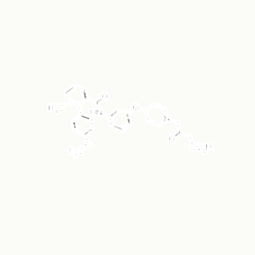 Cc1cccc(C(=O)Nc2cccc(OC3CCN(CC(=O)CC(=O)O)CC3)c2)c1-c1ccc(OC(F)(F)F)cc1